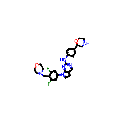 Fc1cc(-n2ccc3cnc(Nc4ccc(C5CNCCO5)cc4)nc32)cc(F)c1CN1CCOCC1